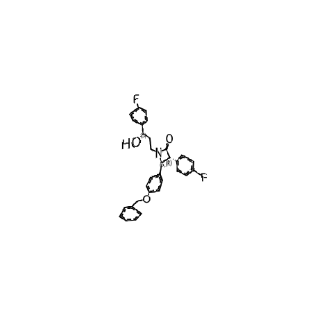 O=C1[C@H](c2ccc(F)cc2)[C@@H](c2ccc(OCc3ccccc3)cc2)N1CC[C@H](O)c1ccc(F)cc1